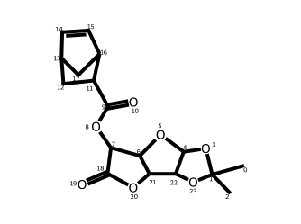 CC1(C)OC2OC3C(OC(=O)C4CC5C=CC4C5)C(=O)OC3C2O1